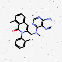 C=Nc1c(N)ncnc1N(C)Cc1cc2cccc(C)c2c(=O)n1-c1ccccc1C